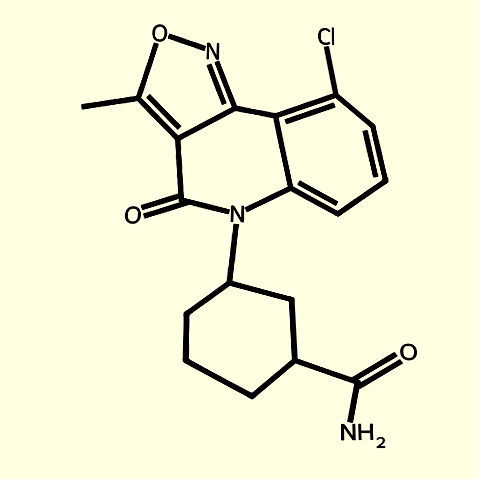 Cc1onc2c1c(=O)n(C1CCCC(C(N)=O)C1)c1cccc(Cl)c21